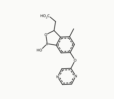 Cc1cc(Oc2cnccn2)cc2c1C(CC(=O)O)OB2O